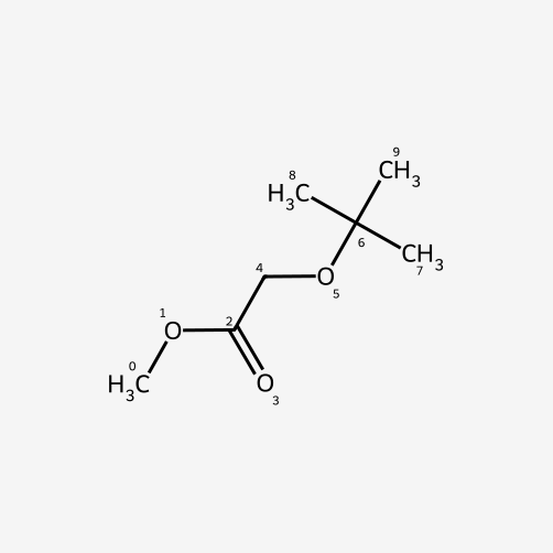 COC(=O)COC(C)(C)C